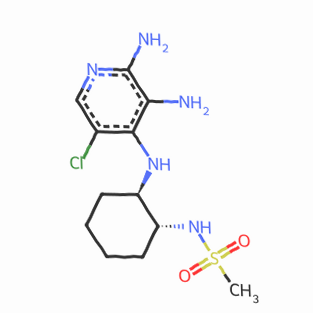 CS(=O)(=O)N[C@@H]1CCCC[C@H]1Nc1c(Cl)cnc(N)c1N